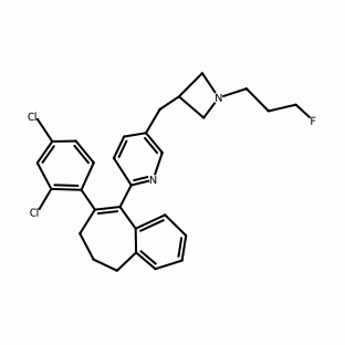 FCCCN1CC(Cc2ccc(C3=C(c4ccc(Cl)cc4Cl)CCCc4ccccc43)nc2)C1